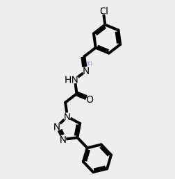 O=C(Cn1cc(-c2ccccc2)nn1)N/N=C/c1cccc(Cl)c1